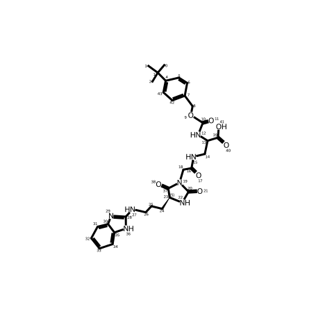 CC(C)(C)c1ccc(COC(=O)NC(CNC(=O)CN2C(=O)N[C@@H](CCCNc3nc4ccccc4[nH]3)C2=O)C(=O)O)cc1